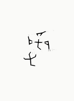 CCCCCCC1CN1C(CC(=O)O)(N1CC1CCCCCC)N1CC1CCCCCC.OCC(CO)(CO)CO